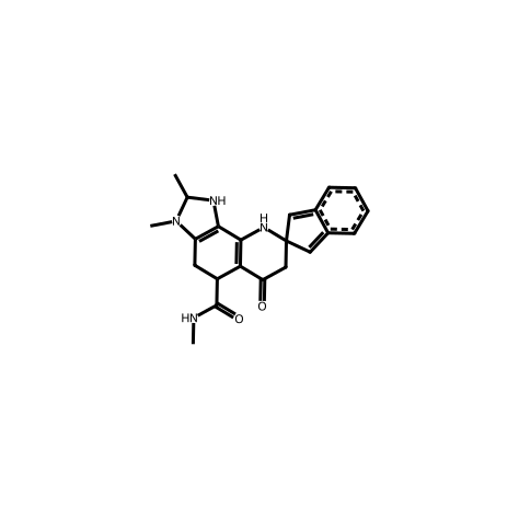 CNC(=O)C1CC2=C(NC(C)N2C)C2=C1C(=O)CC1(C=c3ccccc3=C1)N2